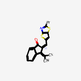 CC(C)c1nc2sc(/C=C3\C(=O)c4ccccc4C3=C(C#N)C#N)cc2s1